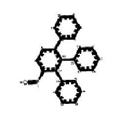 O=Pc1ccc(-c2ccccc2)c(-c2ccccc2)c1-c1ccccc1